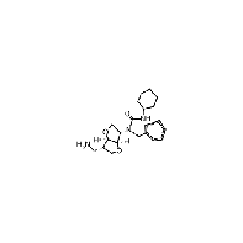 NC[C@H]1CO[C@H]2[C@@H]1OC[C@@H]2N(Cc1ccccc1)C(=O)NC1CCCCC1